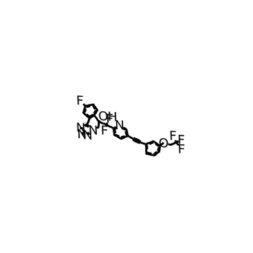 OC1(C(F)(F)c2ccc(C#Cc3cccc(OCC(F)(F)F)c3)cn2)Cn2nnnc2-c2cc(F)ccc21